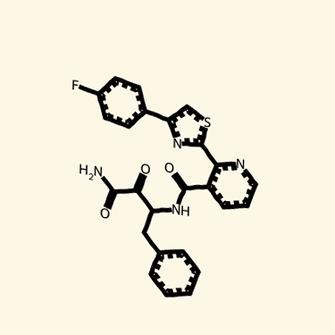 NC(=O)C(=O)C(Cc1ccccc1)NC(=O)c1cccnc1-c1nc(-c2ccc(F)cc2)cs1